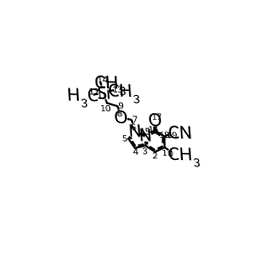 Cc1cc2ccn(COCC[Si](C)(C)C)n2c(=O)c1C#N